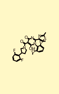 COc1cccc(OC)c1-n1c(-c2csc(C)n2)nc(=O)c(C(=O)N2CCC(c3c(F)cccc3F)C2)c1O